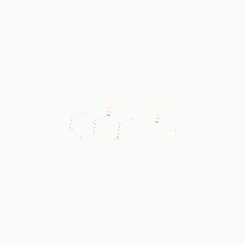 CC(=O)C(CCC(=O)O)C(=O)c1ccccc1